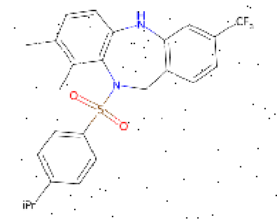 Cc1ccc2c(c1C)N(S(=O)(=O)c1ccc(C(C)C)cc1)Cc1ccc(C(F)(F)F)cc1N2